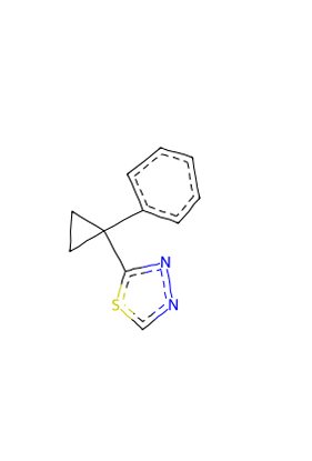 c1ccc(C2(c3nncs3)CC2)cc1